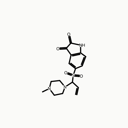 C=CC(N1CCN(C)CC1)S(=O)(=O)c1ccc2c(c1)C(=O)C(=O)N2